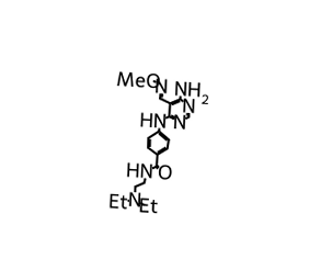 CCN(CC)CCNC(=O)c1ccc(Nc2ncnc(N)c2C=NOC)cc1